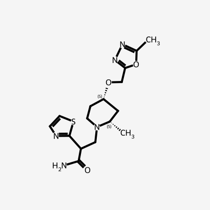 Cc1nnc(CO[C@H]2CCN(CC(C(N)=O)c3nccs3)[C@@H](C)C2)o1